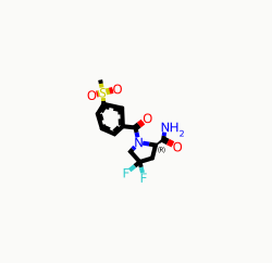 CS(=O)(=O)c1cccc(C(=O)N2CC(F)(F)C[C@@H]2C(N)=O)c1